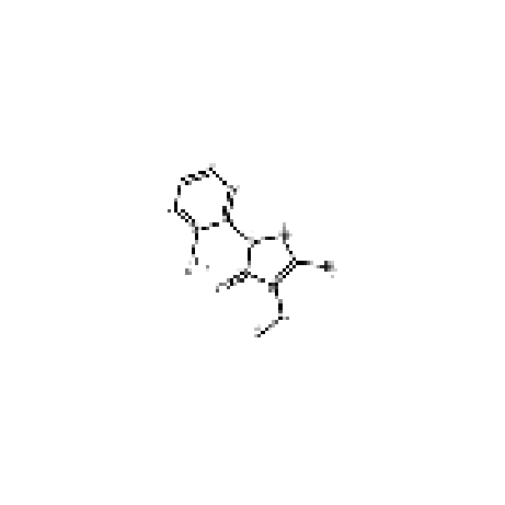 CCc1[nH]n(-c2ccccc2C)c(=O)c1CC(C)C